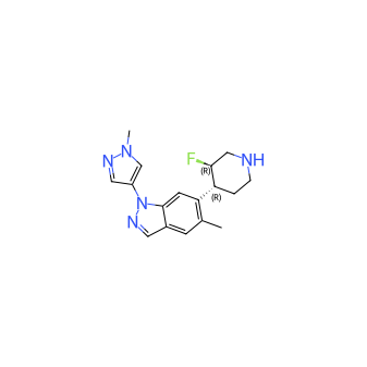 Cc1cc2cnn(-c3cnn(C)c3)c2cc1[C@H]1CCNC[C@@H]1F